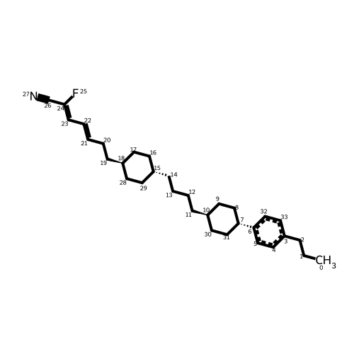 CCCc1ccc([C@H]2CC[C@H](CCCC[C@H]3CC[C@H](CC/C=C/C=C(\F)C#N)CC3)CC2)cc1